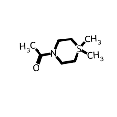 CC(=O)N1CCS(C)(C)CC1